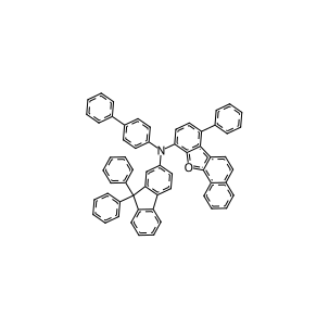 c1ccc(-c2ccc(N(c3ccc4c(c3)C(c3ccccc3)(c3ccccc3)c3ccccc3-4)c3ccc(-c4ccccc4)c4c3oc3c5ccccc5ccc34)cc2)cc1